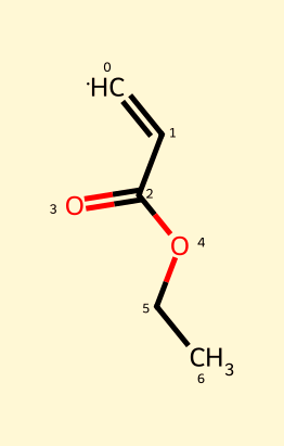 [CH]=CC(=O)OCC